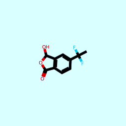 CC(F)(F)c1ccc2c(c1)C(O)OC2=O